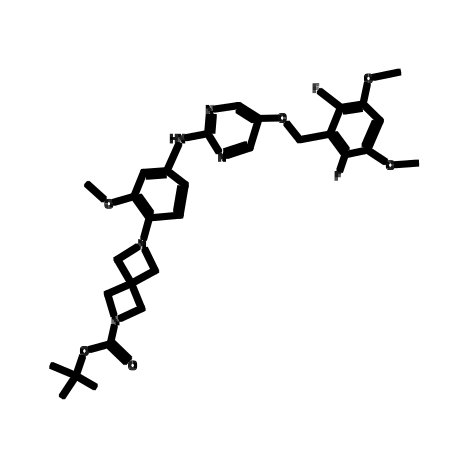 COc1cc(Nc2ncc(OCc3c(F)c(OC)cc(OC)c3F)cn2)ccc1N1CC2(CN(C(=O)OC(C)(C)C)C2)C1